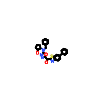 O=C(c1nnc(N(Cc2ccccc2)[C@H]2CCCC2=O)o1)c1nc2ccc(-c3ccccc3)cc2s1